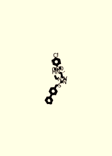 CCn1c(SCc2ccc(-c3ccccc3)cc2)nnc1[C@@H](C)NS(=O)(=O)c1ccc(Cl)cc1